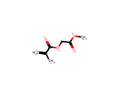 C=C(C)C(=O)OCC(=O)OC